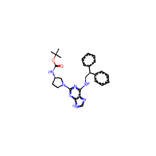 CC(C)(C)OC(=O)N[C@@H]1CCN(c2nc(NCC(c3ccccc3)c3ccccc3)c3nc[nH]c3n2)C1